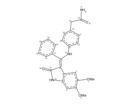 COc1cc2c(cc1OC)C(=C(Nc1ccc(CC(N)=O)cc1)c1ccccc1)C(=O)N2